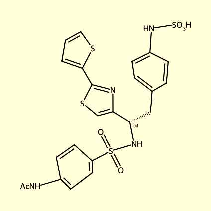 CC(=O)Nc1ccc(S(=O)(=O)N[C@@H](Cc2ccc(NS(=O)(=O)O)cc2)c2csc(-c3cccs3)n2)cc1